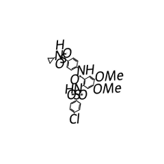 COc1cc(NS(=O)(=O)c2ccc(Cl)cc2)c(C(=O)Nc2ccc(S(=O)(=O)NC3CC3)cc2)cc1OC